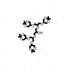 CC1(C)OCC(OCC(COC2COC(C)(C)OC2)OCC(O)COC(COC2COC(C)(C)OC2)COC2COC(C)(C)OC2)CO1